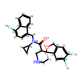 O=C(C1CNCC[C@@]12OCc1cc(F)c(F)cc12)N(Cc1ccc(F)c2ccccc12)C1CC1